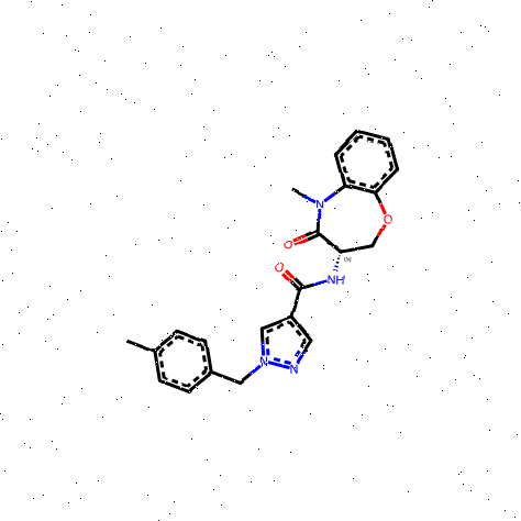 Cc1ccc(Cn2cc(C(=O)N[C@H]3COc4ccccc4N(C)C3=O)cn2)cc1